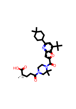 C[C@@H](CCC(=O)N1CCN(C(=O)c2cc3nc(C4CCC(C)(C)CC4)cc(C(C)(C)C)c3o2)C(C)(C)C1)C(=O)O